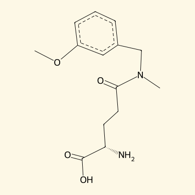 COc1cccc(CN(C)C(=O)CC[C@H](N)C(=O)O)c1